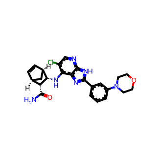 NC(=O)[C@H]1[C@@H](Nc2c(Cl)cnc3[nH]c(-c4cccc(N5CCOCC5)c4)nc23)[C@@H]2C=C[C@H]1C2